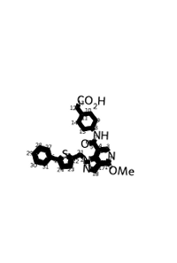 COc1ncc(C(=O)NC2CCC(CC(=O)O)CC2)c2c1cnn2Cc1ccc(-c2ccccc2)s1